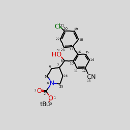 CC(C)(C)OC(=O)N1CCC(C(O)c2cc(C#N)ccc2-c2ccc(Cl)cc2)CC1